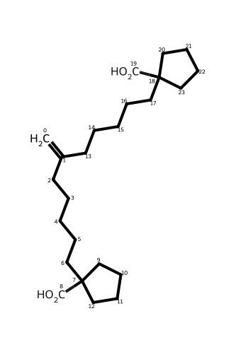 C=C(CCCCCC1(C(=O)O)CCCC1)CCCCCC1(C(=O)O)CCCC1